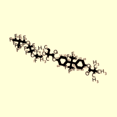 CCC(C)(OCC(F)(F)OC(F)(F)C(F)(F)OC(F)(F)C(F)(C(F)(F)F)C(F)(F)F)C(=O)Oc1ccc(C(c2ccc(OC(=O)C(C)(C)C)cc2)(C(F)(F)F)C(F)(F)F)cc1